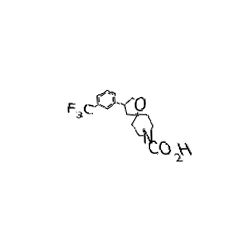 O=C(O)N1CCC2(CC1)CC(c1cccc(C(F)(F)F)c1)CO2